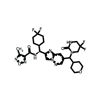 Cc1nonc1C(=O)N[C@H](c1cn2ncc(C(C3CCOCC3)N3CC(F)(F)CNC3=O)cc2n1)C1CCC(F)(F)CC1